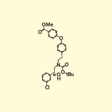 COC(=O)c1ccc(Oc2ccc(CCN(C[C@H](O)c3cccc(Cl)c3)C(=O)OC(C)(C)C)cc2)cc1